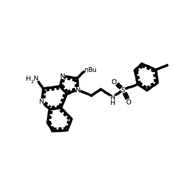 CCCCc1nc2c(N)nc3ccccc3c2n1CCNS(=O)(=O)c1ccc(C)cc1